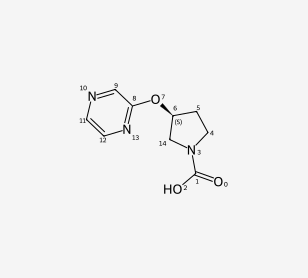 O=C(O)N1CC[C@H](Oc2cnccn2)C1